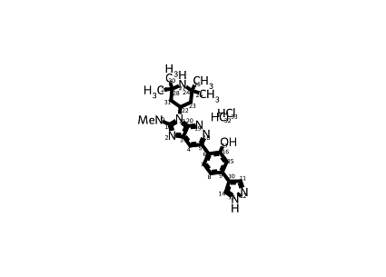 CNc1nc2cc(-c3ccc(-c4cn[nH]c4)cc3O)nnc2n1C1CC(C)(C)NC(C)(C)C1.Cl.Cl